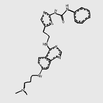 CN(C)CCCNc1ccc2c(NCCc3cnc(NC(=O)Nc4ccccc4)s3)ncnc2c1